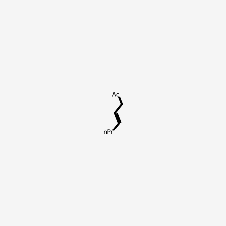 [CH2]C(=O)CC=CCCC